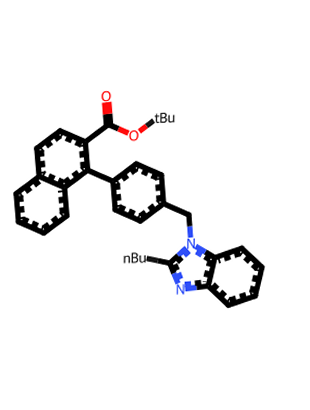 CCCCc1nc2ccccc2n1Cc1ccc(-c2c(C(=O)OC(C)(C)C)ccc3ccccc23)cc1